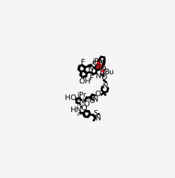 Cc1ncsc1-c1ccc([C@H](C)NC(=O)[C@@H]2C[C@@H](O)CN2C(=O)[C@@H](c2cc(OCC3(C)CCN(CCOc4nc(N5CC6CCC(C5)N6C(=O)OC(C)(C)C)c5cnc(-c6cc(O)cc7ccc(F)c(C#C[Si](C(C)C)(C(C)C)C(C)C)c67)c(F)c5n4)CC3)no2)C(C)C)cc1